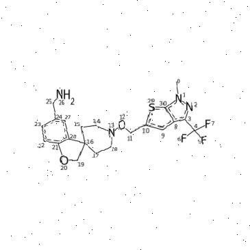 Cn1nc(C(F)(F)F)c2cc(CON3CCC4(CC3)COc3ccc(CN)cc34)sc21